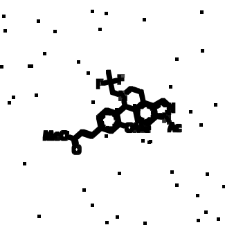 COC(=O)/C=C/c1ccc(C2c3ccc4c(cnn4C(C)=O)c3CCN2CC(C)(F)F)c(OC)c1